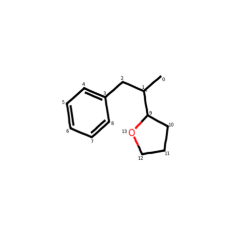 C[C](Cc1ccccc1)C1CCCO1